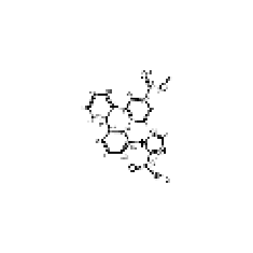 COC(=O)c1cccc(-c2ccccc2-c2cccc(-n3ncnc3C(N)=O)c2)c1